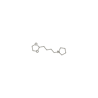 [CH](CCCN1CCCC1)C1OCCO1